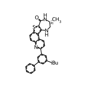 CCC(C)c1cc(-c2ccccc2)cc(-c2ccc3c(ccc4sc5c(c43)NC[C@@H](C)NC5=O)n2)c1